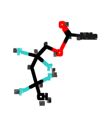 CNC(=O)OCC(F)(F)CC(C)(F)F